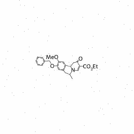 CCOC(=O)C1=CN2C(C)Cc3cc(OCc4ccccc4)c(OC)cc3C2CC1=O